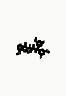 COc1cc(F)cc(C(c2cc(F)cc(OC)c2)N(C)NC(=O)[C@H](C)n2c(=O)oc3c(OC)ccnc3c2=O)c1